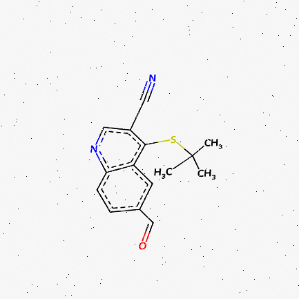 CC(C)(C)Sc1c(C#N)cnc2ccc(C=O)cc12